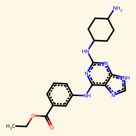 CCOC(=O)c1cccc(Nc2nc(NC3CCC(N)CC3)nc3[nH]cnc23)c1